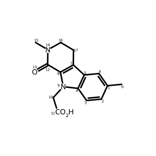 Cc1ccc2c(c1)c1c(n2CC(=O)O)C(=O)N(C)CC1